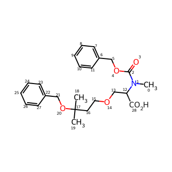 CN(C(=O)OCc1ccccc1)C(COCCC(C)(C)OCc1ccccc1)C(=O)O